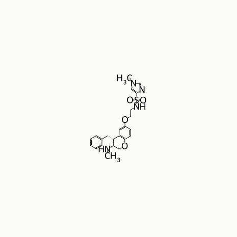 CN[C@@H]1COc2ccc(OCCNS(=O)(=O)c3cn(C)cn3)cc2[C@H]1Cc1ccccc1